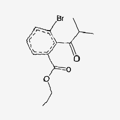 CCOC(=O)c1cccc(Br)c1C(=O)C(C)C